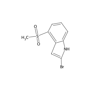 CS(=O)(=O)c1cccc2[nH]c(Br)cc12